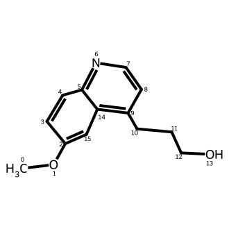 COc1ccc2nccc(CCCO)c2c1